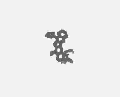 CCC1(OC(C)=O)C(=O)OCc2c1cc1n(c2=O)Cc2c-1nc1ccccc1c2[SH]1C=CC=C1